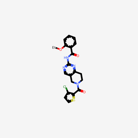 CCOc1ccccc1C(=O)Nc1ncc2c(n1)CCN(C(=O)c1sccc1Cl)C2